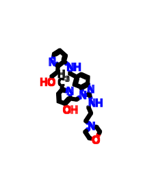 Cc1ccc(O)c(Cn2c(NCCCN3CCOCC3)nc3ccc(CNc4cccnc4CCO)cc32)n1